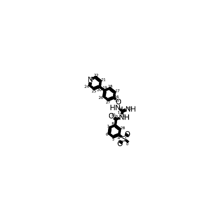 CS(=O)(=O)c1cccc(C(=O)NC(=N)NOc2ccc(-c3ccncc3)cc2)c1